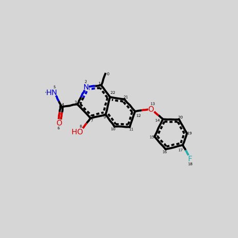 Cc1nc(C([NH])=O)c(O)c2ccc(Oc3ccc(F)cc3)cc12